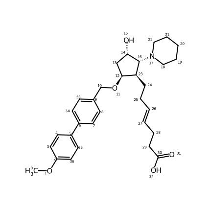 COc1ccc(-c2ccc(CO[C@H]3C[C@H](O)[C@H](N4CCCCC4)[C@H]3CCC=CCCC(=O)O)cc2)cc1